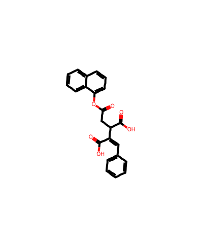 O=C(CC(C(=O)O)C(=Cc1ccccc1)C(=O)O)Oc1cccc2ccccc12